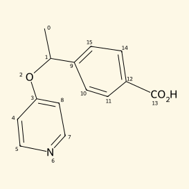 CC(Oc1ccncc1)c1ccc(C(=O)O)cc1